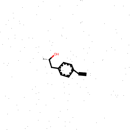 C#Cc1ccc(C[C@H](C)O)cc1